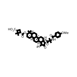 COc1ccc(C(=O)NC(C)(C)C(=O)N[C@@]23CC[C@]4(C)[C@H](CC[C@@H]5[C@@]6(C)CC[C@H](OC(=O)[C@H]7C[C@@H](C(=O)O)C7(C)C)C(C)(C)[C@@H]6CC[C@]54C)C2=C(C(C)C)C(=O)C3)cc1